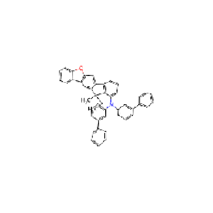 CCC1(C)c2cc3c(cc2-c2cccc(N(c4cccc(-c5ccccc5)c4)c4cccc(-c5ccccc5)c4)c21)oc1ccccc13